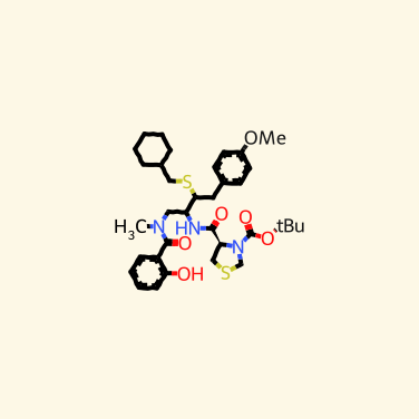 COc1ccc(CC(SCC2CCCCC2)C(CN(C)C(=O)c2ccccc2O)NC(=O)[C@@H]2CSCN2C(=O)OC(C)(C)C)cc1